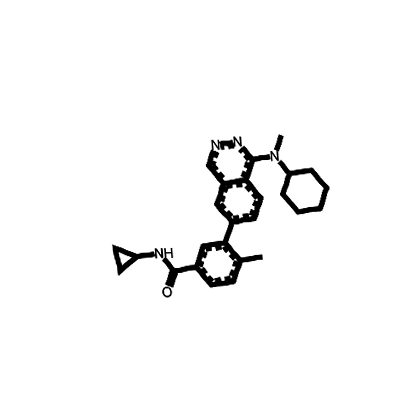 Cc1ccc(C(=O)NC2CC2)cc1-c1ccc2c(N(C)C3CCCCC3)nncc2c1